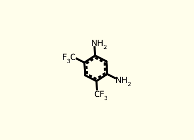 Nc1cc(N)c(C(F)(F)F)cc1C(F)(F)F